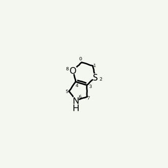 C1CSC2=C(CNC2)O1